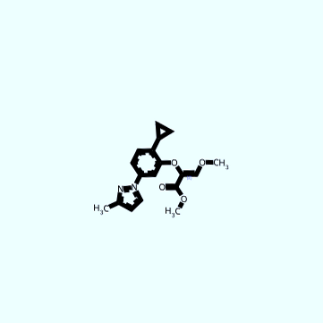 CO/C=C(\Oc1cc(-n2ccc(C)n2)ccc1C1CC1)C(=O)OC